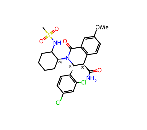 COc1ccc2c(c1)C(=O)N([C@H]1CCCCC1NS(C)(=O)=O)[C@@H](c1ccc(Cl)cc1Cl)[C@@H]2C(N)=O